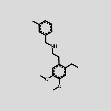 CCc1cc(OC)c(OC)cc1CCNCc1cccc(C)c1